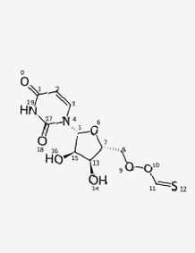 O=c1ccn([C@@H]2O[C@H](COOC=S)[C@@H](O)[C@H]2O)c(=O)[nH]1